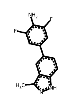 Cc1n[nH]c2ccc(-c3cc(F)c(N)c(F)c3)cc12